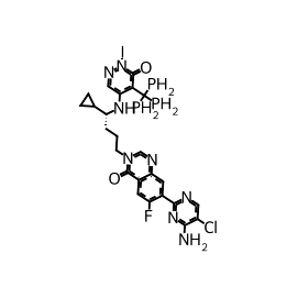 Nc1nc(-c2cc3ncn(CCC[C@@H](Nc4cnn(I)c(=O)c4C(P)(P)P)C4CC4)c(=O)c3cc2F)ncc1Cl